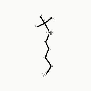 CC(C)(C)NCCCC[O]